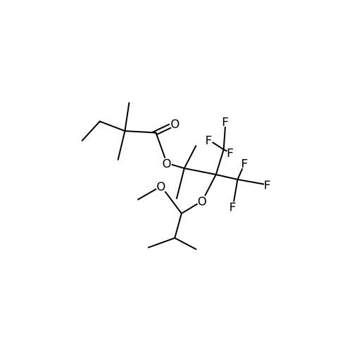 CCC(C)(C)C(=O)OC(C)(C)C(OC(OC)C(C)C)(C(F)(F)F)C(F)(F)F